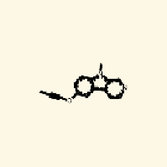 CC#COc1ccc2c(c1)c1ccncc1n2C